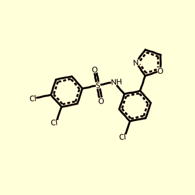 O=S(=O)(Nc1cc(Cl)ccc1-c1ncco1)c1ccc(Cl)c(Cl)c1